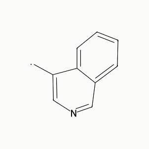 [CH2]c1cncc2ccccc12